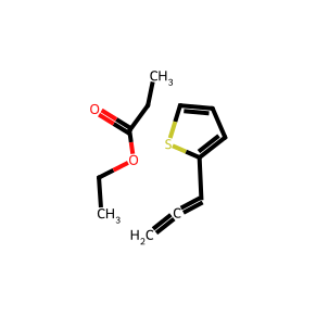 C=C=Cc1cccs1.CCOC(=O)CC